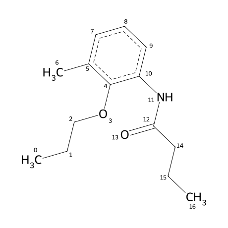 CCCOc1c(C)cccc1NC(=O)CCC